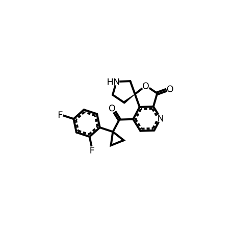 O=C1O[C@]2(CCNC2)c2c(C(=O)C3(c4ccc(F)cc4F)CC3)ccnc21